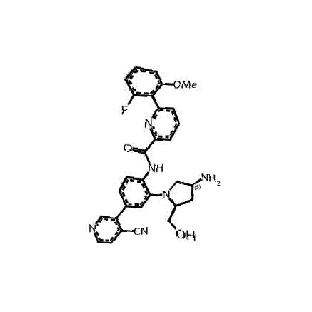 COc1cccc(F)c1-c1cccc(C(=O)Nc2ccc(-c3cnccc3C#N)cc2N2C[C@@H](N)CC2CO)n1